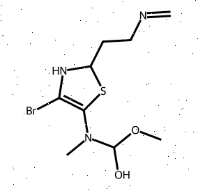 C=NCCC1NC(Br)=C(N(C)C(O)OC)S1